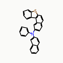 c1ccc(N(c2ccc3ccccc3c2)c2ccc3ccc4sc5ccccc5c4c3c2)cc1